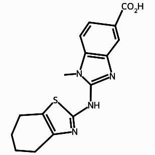 Cn1c(Nc2nc3c(s2)CCCC3)nc2cc(C(=O)O)ccc21